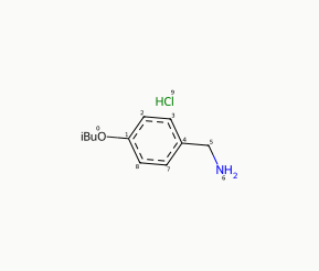 CC(C)COc1ccc(CN)cc1.Cl